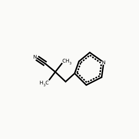 CC(C)(C#N)Cc1ccncc1